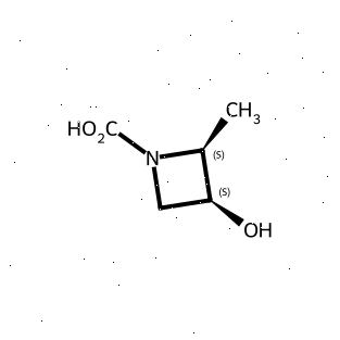 C[C@H]1[C@@H](O)CN1C(=O)O